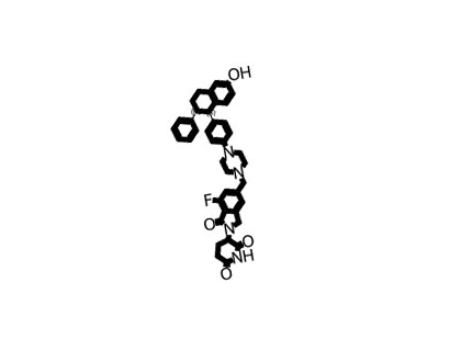 O=C1CCC(N2Cc3cc(CN4CCN(c5ccc([C@H]6c7ccc(O)cc7CC[C@H]6c6ccccc6)cc5)CC4)cc(F)c3C2=O)C(=O)N1